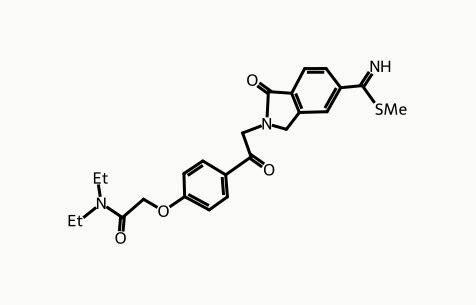 CCN(CC)C(=O)COc1ccc(C(=O)CN2Cc3cc(C(=N)SC)ccc3C2=O)cc1